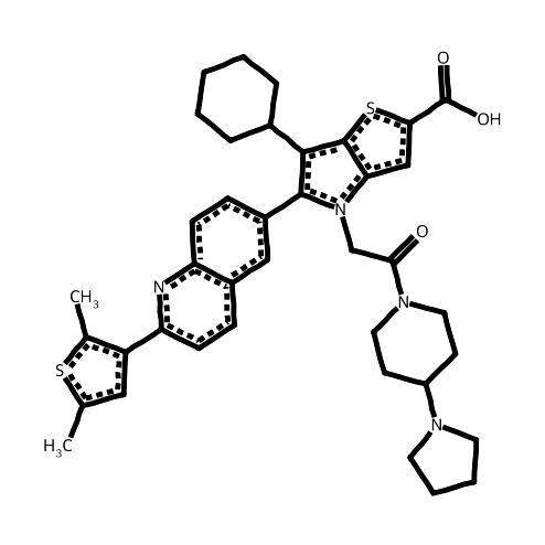 Cc1cc(-c2ccc3cc(-c4c(C5CCCCC5)c5sc(C(=O)O)cc5n4CC(=O)N4CCC(N5CCCC5)CC4)ccc3n2)c(C)s1